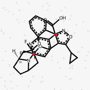 O=C(O)Cc1ccc(N2C3CC[C@H]2CC(OCc2c(-c4ccccc4OC(F)(F)F)noc2C2CC2)C3)nc1